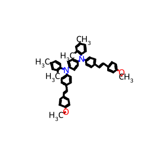 COc1ccc(/C=C/c2ccc(N(c3ccc(N(c4ccc(/C=C/c5ccc(OC)cc5)cc4)c4ccc(C)cc4C)cc3)c3ccc(C)cc3C)cc2)cc1